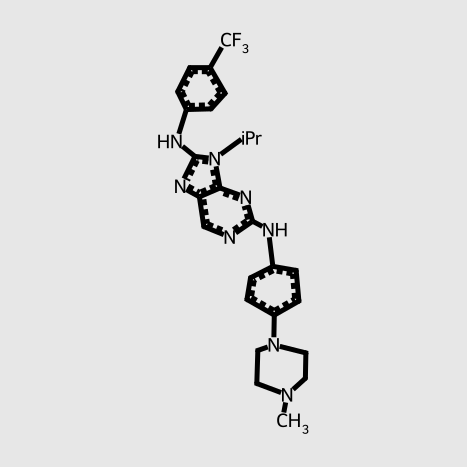 CC(C)n1c(Nc2ccc(C(F)(F)F)cc2)nc2cnc(Nc3ccc(N4CCN(C)CC4)cc3)nc21